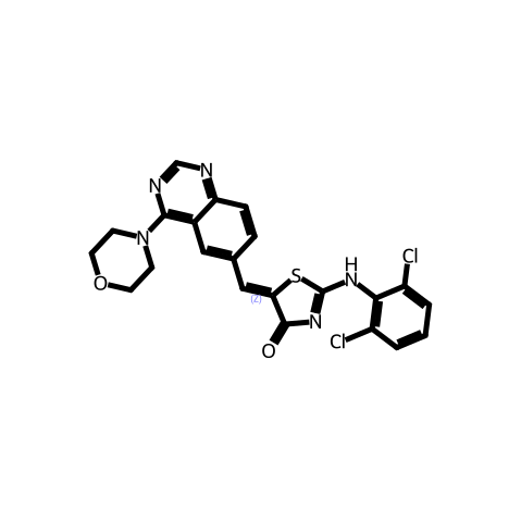 O=C1N=C(Nc2c(Cl)cccc2Cl)S/C1=C\c1ccc2ncnc(N3CCOCC3)c2c1